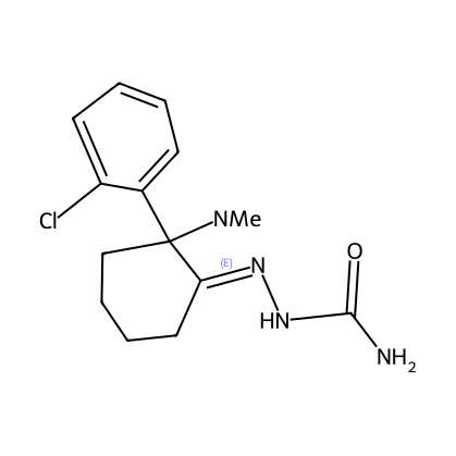 CNC1(c2ccccc2Cl)CCCC/C1=N\NC(N)=O